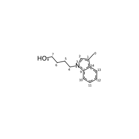 Cc1cn(CCCCO)c2cc[c]cc12